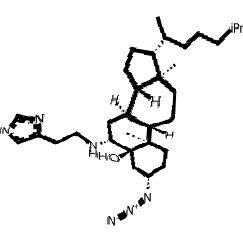 CC(C)CCCC(C)[C@H]1CC[C@H]2[C@@H]3C[C@@H](NCCc4c[nH]cn4)[C@@]4(O)C[C@@H](N=[N+]=[N-])CC[C@]4(C)[C@H]3CC[C@]12C